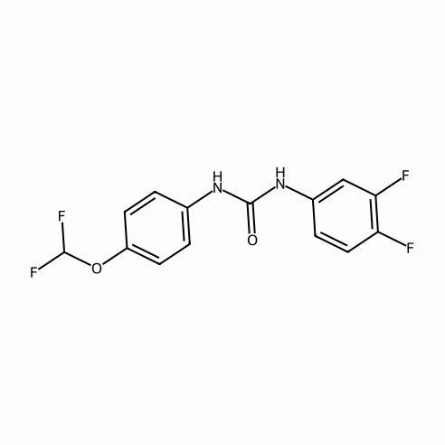 O=C(Nc1ccc(OC(F)F)cc1)Nc1ccc(F)c(F)c1